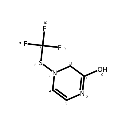 OC1=NC=CN(SC(F)(F)F)C1